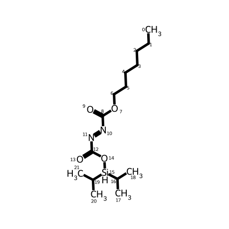 CCCCCCCOC(=O)N=NC(=O)O[SiH](C(C)C)C(C)C